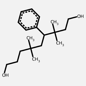 CC(C)(CCCO)CC(c1ccccc1)C(C)(C)CCO